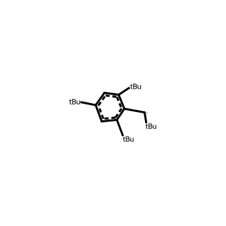 [CH2]C([CH2])([CH2])[CH]c1c(C(C)(C)C)cc(C(C)(C)C)cc1C(C)(C)C